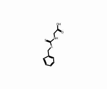 O=C(O)CNC(=S)SCc1ccccc1